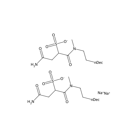 CCCCCCCCCCCCN(C)C(=O)C(CC(N)=O)S(=O)(=O)[O-].CCCCCCCCCCCCN(C)C(=O)C(CC(N)=O)S(=O)(=O)[O-].[Na+].[Na+]